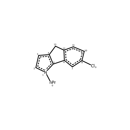 CCCn1ccc2c1-c1cc(Cl)ccc1C2